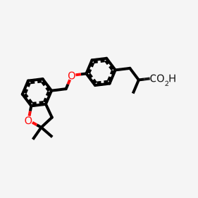 CC(Cc1ccc(OCc2cccc3c2CC(C)(C)O3)cc1)C(=O)O